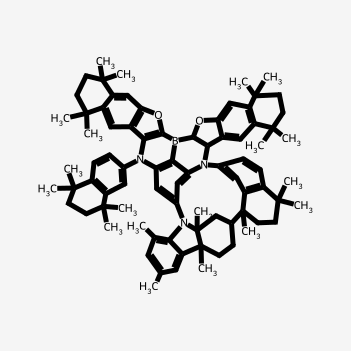 Cc1cc(C)c2c(c1)C1(C)CCC3CC1(C)N2c1cc2c4c(c1)N(c1ccc5c(c1)C3(C)CCC5(C)C)C1c3cc5c(cc3OC1B4c1oc3cc4c(cc3c1N2c1ccc2c(c1)C(C)(C)CCC2(C)C)C(C)(C)CCC4(C)C)C(C)(C)CCC5(C)C